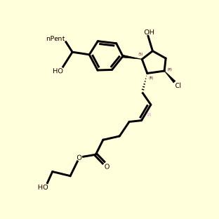 CCCCCC(O)c1ccc([C@H]2C(O)C[C@@H](Cl)[C@@H]2C/C=C\CCCC(=O)OCCO)cc1